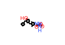 Cc1cc(NC(=O)c2noc(=O)[nH]2)cc(C)c1Cc1ccc(O)c(Cc2ccccc2)c1